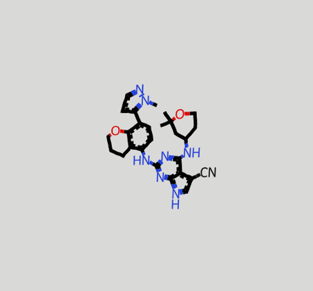 Cn1nccc1-c1ccc(Nc2nc(NC3CCOC(C)(C)C3)c3c(C#N)c[nH]c3n2)c2c1OCCC2